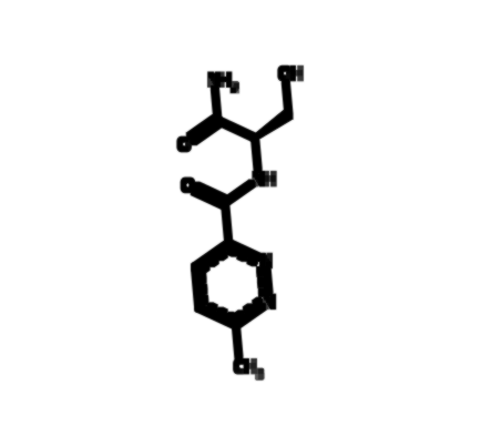 Cc1ccc(C(=O)N[C@H](CO)C(N)=O)nn1